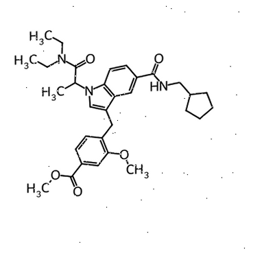 CCN(CC)C(=O)C(C)n1cc(Cc2ccc(C(=O)OC)cc2OC)c2cc(C(=O)NCC3CCCC3)ccc21